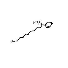 CCCCCC=CCCCCCCC(C(=O)O)c1ccccc1